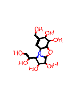 OCC1=CC2C(OC3C(O)C(O)C(C(O)CO)N23)C(O)C1O